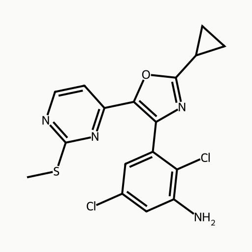 CSc1nccc(-c2oc(C3CC3)nc2-c2cc(Cl)cc(N)c2Cl)n1